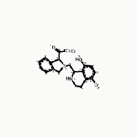 O=CC(=O)C1c2ccccc2CN1CC1NCCc2c(Br)ccc(O)c21